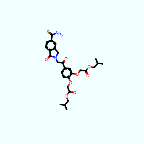 CC(C)COC(=O)COc1ccc(C(=O)CN2Cc3cc(C(N)=S)ccc3C2=O)cc1OCC(=O)OCC(C)C